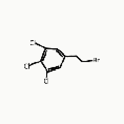 Clc1cc(CCBr)cc(Cl)c1Cl